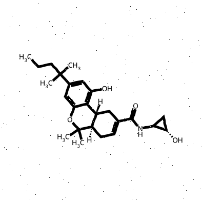 CCCC(C)(C)c1cc(O)c2c(c1)OC(C)(C)[C@@H]1CC=C(C(=O)NC3C[C@@H]3O)C[C@@H]21